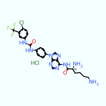 Cl.NCCCC[C@H](N)C(=O)Nc1ncnc2c1ncn2-c1ccc(NC(=O)Nc2ccc(Cl)c(C(F)(F)F)c2)cc1